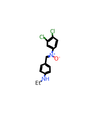 CCNc1ccc(C=[N+]([O-])c2ccc(Cl)c(Cl)c2)cc1